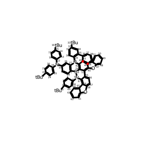 CC(C)(C)c1ccc(N2B3c4ccc(N(c5ccc(C(C)(C)C)cc5)c5ccc(C(C)(C)C)cc5)cc4N(c4ccc(C(C)(C)C)cc4-c4ccccc4)c4cc5c(oc6ccccc65)c(c43)-c3ccc4oc5ccccc5c4c32)cc1